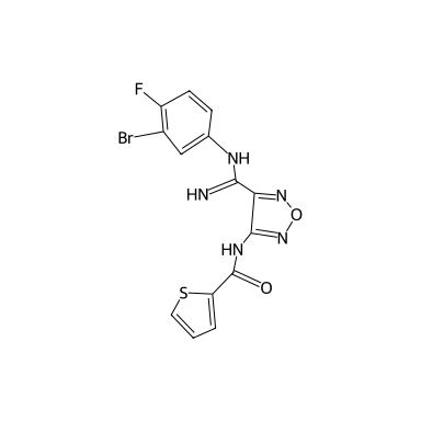 N=C(Nc1ccc(F)c(Br)c1)c1nonc1NC(=O)c1cccs1